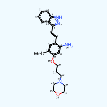 COc1cc(C=Cc2n[nH]c3ccccc23)c(N)cc1OCCCN1CCOCC1